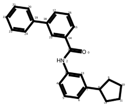 O=C(Nc1cccc(C2CCCC2)c1)c1cccc(-c2ccccc2)c1